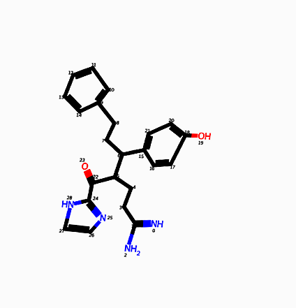 N=C(N)CCC([C](CCc1ccccc1)c1ccc(O)cc1)C(=O)c1ncc[nH]1